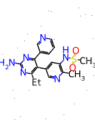 CCc1nc(N)nc(-c2cccnc2)c1-c1cnc(C)c(NS(C)(=O)=O)c1